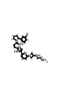 N=C(/C=C\c1ncc(-c2cccc(N3CC(NCCN)C3)n2)[nH]1)N1CCCC1c1cccc(F)c1